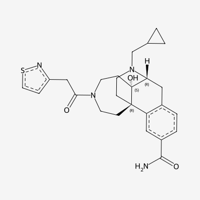 NC(=O)c1ccc2c(c1)[C@@]13CCN(C(=O)Cc4ccsn4)CC[C@@]1(O)[C@@H](C2)N(CC1CC1)CC3